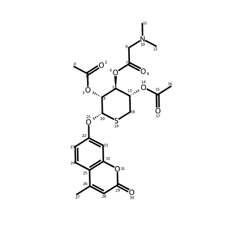 CC(=O)O[C@@H]1[C@@H](OC(=O)CN(C)C)[C@H](OC(C)=O)CS[C@@H]1Oc1ccc2c(C)cc(=O)oc2c1